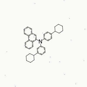 c1cc(C2CCCCC2)cc(N(c2ccc(C3CCCCC3)cc2)c2cc3ccccc3c3ccccc23)c1